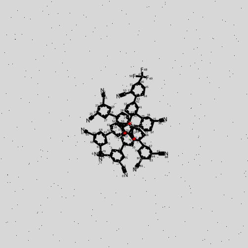 N#Cc1cc(C#N)cc(-c2ccc3c(c2)c2cc(-c4cc(C#N)cc(C#N)c4)ccc2n3-c2ccc(C#N)cc2-c2cc(-c3ccc(C(F)(F)F)cc3C#N)ccc2-n2c3ccc(-c4cc(C#N)cc(C#N)c4)cc3c3cc(-c4cc(C#N)cc(C#N)c4)ccc32)c1